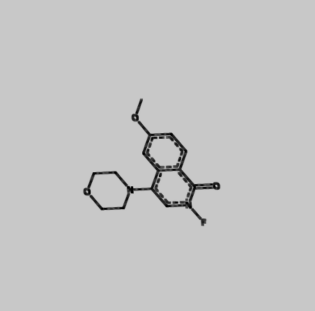 COc1ccc2c(=O)n(F)cc(N3CCOCC3)c2c1